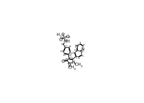 Cn1c(-c2ccc3nccnc3c2)c(-c2ccc(CNS(C)(=O)=O)cc2)c(=O)n1C